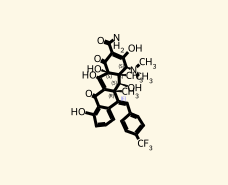 CN(C)[C@@H]1C(O)=C(C(N)=O)C(=O)[C@@]2(O)C(O)=C3C(=O)c4c(O)cccc4/C(=C\c4ccc(C(F)(F)F)cc4)[C@@]3(C)[C@H](O)[C@@]12C